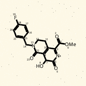 COC(=O)C1=NC(=O)C(O)C2=C1CCN(Cc1ccc(F)cc1)C2=O